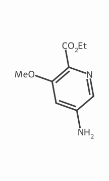 CCOC(=O)c1ncc(N)cc1OC